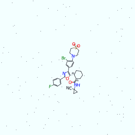 N#CC1(NC(=O)[C@@H]2CCCC[C@H]2c2oc(-c3ccc(F)cc3)nc2-c2ccc(N3CCS(=O)(=O)CC3)c(Br)c2)CC1